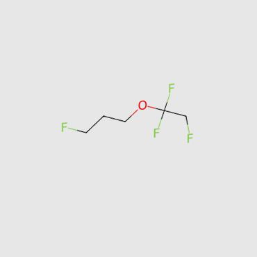 FCCCOC(F)(F)CF